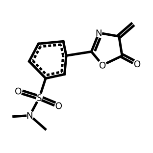 C=C1N=C(c2cccc(S(=O)(=O)N(C)C)c2)OC1=O